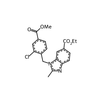 CCOC(=O)c1ccc2nc(C)n(Cc3ccc(C(=O)OC)cc3Cl)c2c1